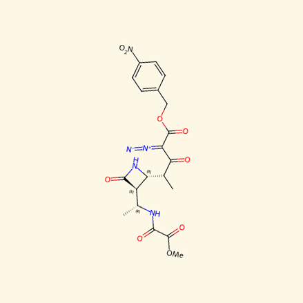 COC(=O)C(=O)N[C@H](C)[C@H]1C(=O)N[C@@H]1C(C)C(=O)C(=[N+]=[N-])C(=O)OCc1ccc([N+](=O)[O-])cc1